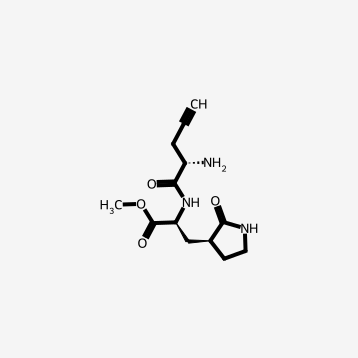 C#CC[C@H](N)C(=O)N[C@@H](C[C@@H]1CCNC1=O)C(=O)OC